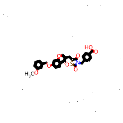 COc1cccc(COc2ccc3c(=O)c(CC4SC(=O)N(Cc5ccc(C(=O)O)cc5)C4=O)coc3c2)c1